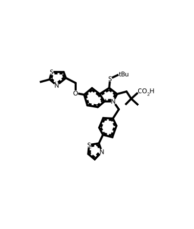 Cc1nc(COc2ccc3c(c2)c(SC(C)(C)C)c(CC(C)(C)C(=O)O)n3Cc2ccc(-c3nccs3)cc2)cs1